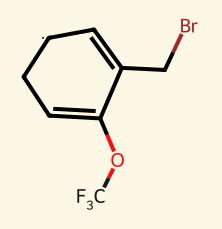 FC(F)(F)OC1=CC[CH]C=C1CBr